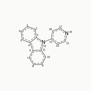 c1ccc2c(c1)c1ccccc1n2-c1ccncc1